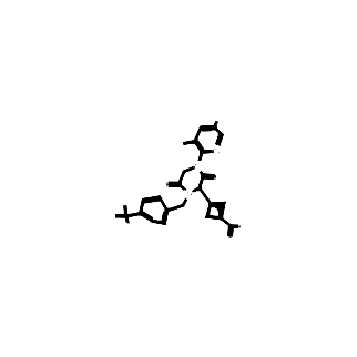 O=C1C(C23CC(C(=O)Cl)(C2)C3)N(Cc2ccc(C(F)(F)F)cc2)C(=O)CN1c1ncc(Cl)cc1F